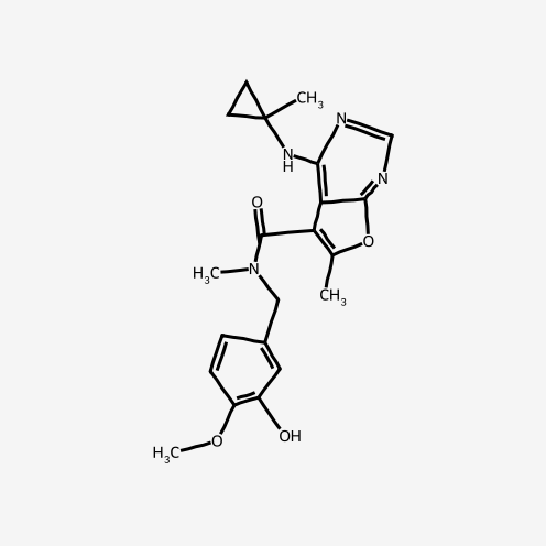 COc1ccc(CN(C)C(=O)c2c(C)oc3ncnc(NC4(C)CC4)c23)cc1O